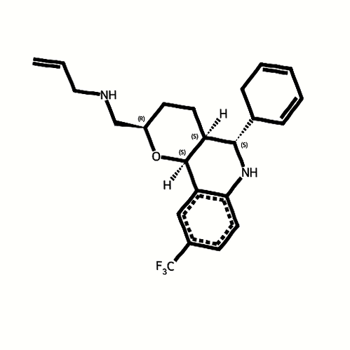 C=CCNC[C@H]1CC[C@@H]2[C@H](O1)c1cc(C(F)(F)F)ccc1N[C@H]2C1C=CC=CC1